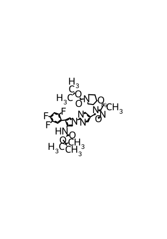 CC(C)OC(=O)N1CCC(O[C@H](C)c2noc(-c3cnc(-n4cc(NC(=O)OC(C)(C)C)c(-c5cc(F)c(F)cc5F)c4)nc3)n2)CC1